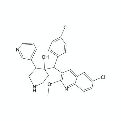 COc1nc2ccc(Cl)cc2cc1C(c1ccc(Cl)cc1)C1(O)CCNCC1c1cccnc1